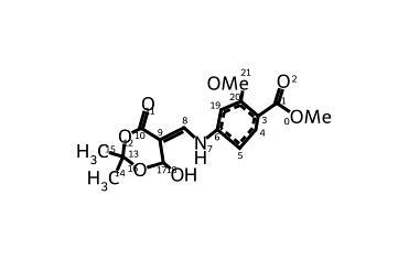 COC(=O)c1ccc(N/C=C2/C(=O)OC(C)(C)OC2O)cc1OC